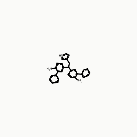 Nc1ccc(C(Cc2c[nH]cn2)c2ccc(N)c(-c3ccccc3)c2)cc1-c1ccccc1